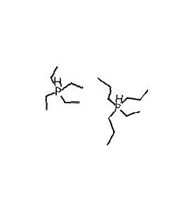 CCC[PH](CC)(CCC)CCC.CC[PH](CC)(CC)CC